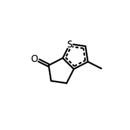 Cc1csc2c1CCC2=O